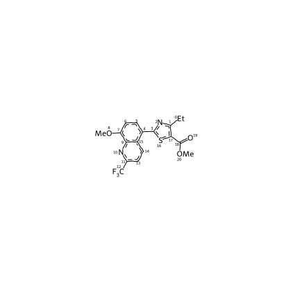 CCc1nc(-c2ccc(OC)c3nc(C(F)(F)F)ccc23)sc1C(=O)OC